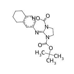 CC(C)(C)OC(=O)N1CCN(C(=O)O)C1=Nc1ccc2c(c1)CCCC2